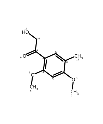 COc1cc(OC)c(C(=O)CO)cc1C